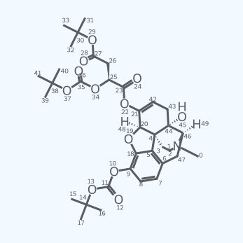 CN1CC[C@]23c4c5ccc(OC(=O)OC(C)(C)C)c4O[C@H]2C(OC(=O)[C@H](CC(=O)OC(C)(C)C)OC(=O)OC(C)(C)C)=CC[C@@]3(O)[C@H]1C5